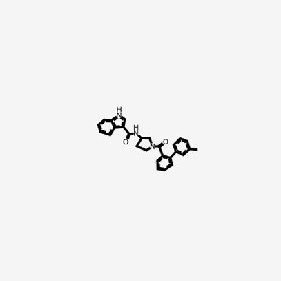 Cc1cccc(-c2ccccc2C(=O)N2CCC(NC(=O)c3c[nH]c4ccccc34)C2)c1